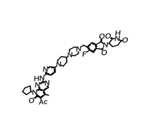 CC(=O)c1c(C)c2cnc(Nc3ccc(N4CCC(N5CCN(Cc6cc7c(cc6F)C(=O)N(C6CCC(=O)NC6=O)C7=O)CC5)CC4)cn3)nc2n(C2CCCC2)c1=O